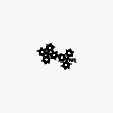 [NH3+]C(c1ccccc1)(c1ccccc1)c1ccccc1.c1ccc([B-](c2ccccc2)(c2ccccc2)c2ccccc2)cc1